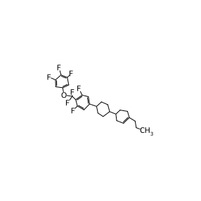 CCCC1=CCC(C2CCC(c3cc(F)c(C(F)(F)Oc4cc(F)c(F)c(F)c4)c(F)c3)CC2)CC1